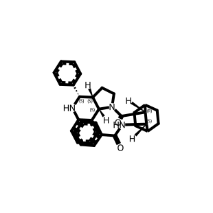 O=C(N[C@H]1C2CCC(CC2)[C@H]1C(=O)N1CC[C@H]2[C@@H](c3ccccc3)Nc3ccccc3[C@H]21)c1ccccc1